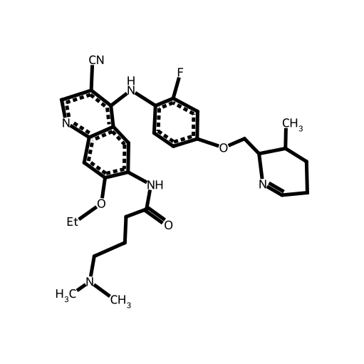 CCOc1cc2ncc(C#N)c(Nc3ccc(OCC4N=CCCC4C)cc3F)c2cc1NC(=O)CCCN(C)C